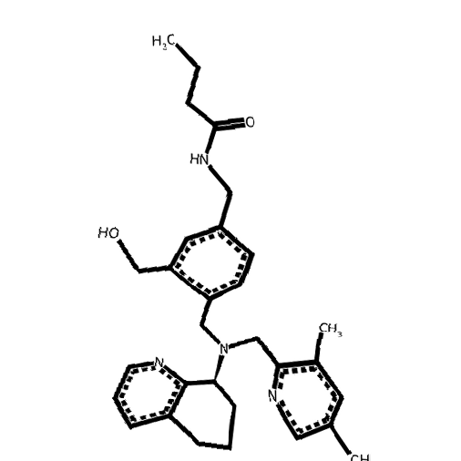 CCCC(=O)NCc1ccc(CN(Cc2ncc(C)cc2C)[C@H]2CCCc3cccnc32)c(CO)c1